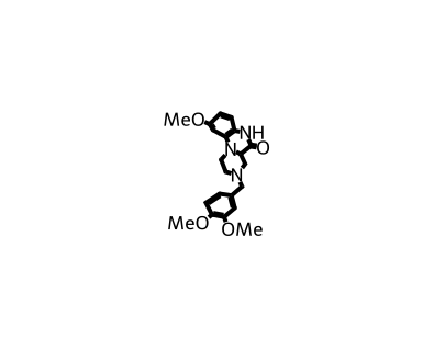 COc1ccc2c(c1)N1CCN(Cc3ccc(OC)c(OC)c3)CC1C(=O)N2